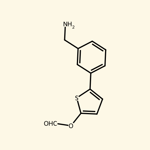 NCc1cccc(-c2ccc(OC=O)s2)c1